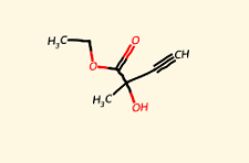 C#CC(C)(O)C(=O)OCC